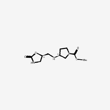 CC(C)(C)OC(=O)N1CC[C@H](NC[C@H]2CNC(=O)O2)C1